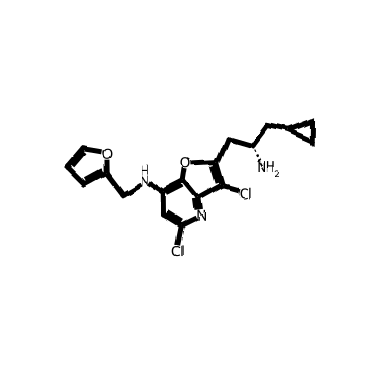 N[C@H](Cc1oc2c(NCc3ccco3)cc(Cl)nc2c1Cl)CC1CC1